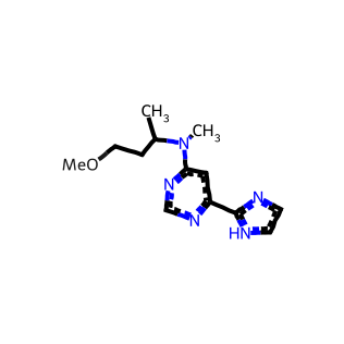 COCCC(C)N(C)c1cc(-c2ncc[nH]2)ncn1